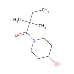 CCC(C)(C)C(=O)N1CCC(O)CC1